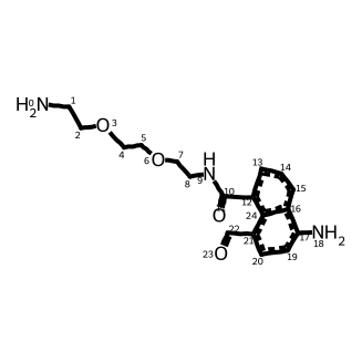 NCCOCCOCCNC(=O)c1cccc2c(N)ccc(C=O)c12